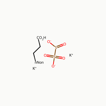 CCCCCCCCCCCC(=O)O.O=S([O-])S(=O)(=O)[O-].[K+].[K+]